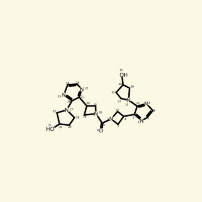 O=C(N1CC(c2nccnc2N2CCC(O)C2)C1)N1CC(c2nccnc2N2CCC(O)C2)C1